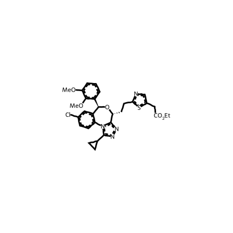 CCOC(=O)Cc1cnc(CC[C@H]2O[C@H](c3cccc(OC)c3OC)c3cc(Cl)ccc3-n3c(C4CC4)nnc32)s1